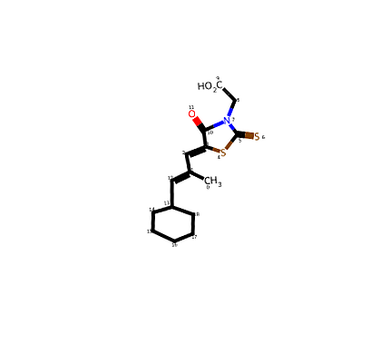 CC(/C=C1\SC(=S)N(CC(=O)O)C1=O)=C\C1CCCCC1